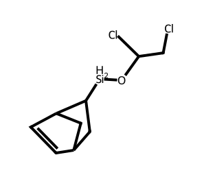 ClCC(Cl)O[SiH2]C1CC2C=CC1C2